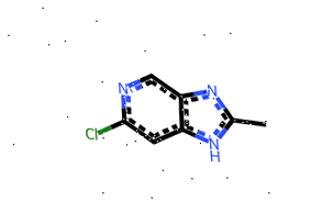 Cc1nc2cnc(Cl)cc2[nH]1